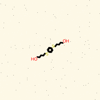 OCCCCCSc1ccc(SCCCCCO)cc1